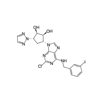 O[C@@H]1[C@H](O)[C@@H](n2nccn2)C[C@H]1n1cnc2c(NCc3cccc(I)c3)nc(Cl)nc21